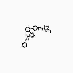 CCc1nnc(NCc2ccc(-c3ccccc3-c3nnnn3C(=O)OCc3ccccc3)cc2)s1